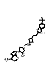 CC(C)(C)c1ccc2[nH]c(CCC3CC(NC[C@@H]4C[C@@H](O)[C@H](n5ccc6c(N)ncnc65)C4)C3)nc2c1